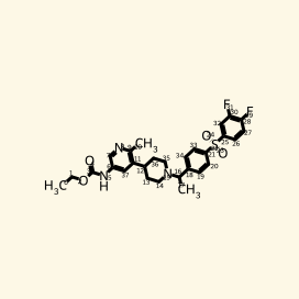 CCOC(=O)Nc1cnc(C)c(C2CCN(C(C)c3ccc(S(=O)(=O)c4ccc(F)c(F)c4)cc3)CC2)c1